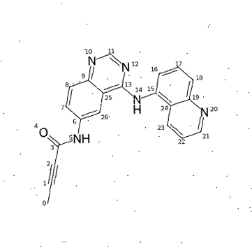 CC#CC(=O)Nc1ccc2ncnc(Nc3cccc4ncccc34)c2c1